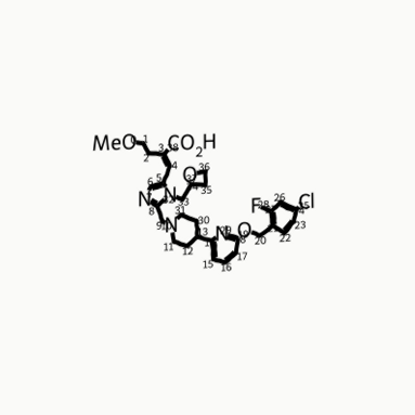 COCCC(=Cc1cnc(CN2CCC(c3cccc(OCc4ccc(Cl)cc4F)n3)CC2)n1CC1CCO1)C(=O)O